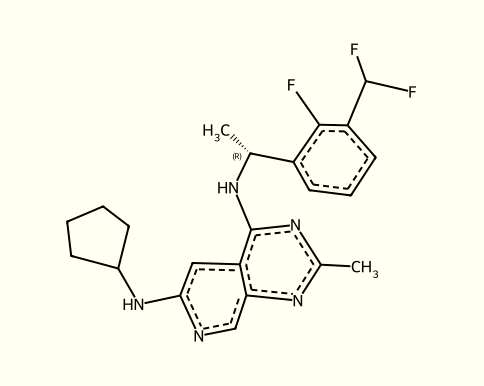 Cc1nc(N[C@H](C)c2cccc(C(F)F)c2F)c2cc(NC3CCCC3)ncc2n1